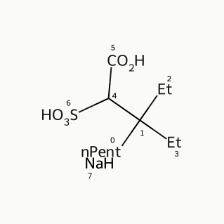 CCCCCC(CC)(CC)C(C(=O)O)S(=O)(=O)O.[NaH]